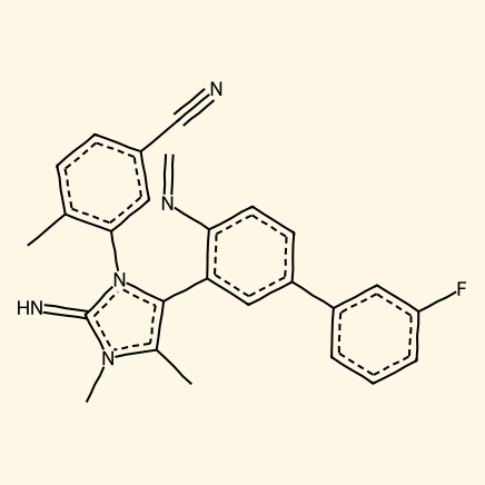 C=Nc1ccc(-c2cccc(F)c2)cc1-c1c(C)n(C)c(=N)n1-c1cc(C#N)ccc1C